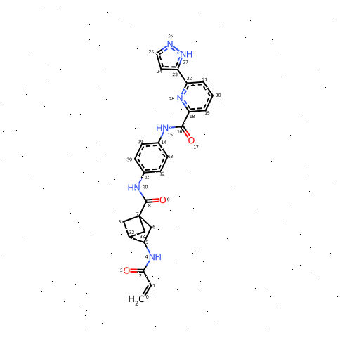 C=CC(=O)NC1CC2(C(=O)Nc3ccc(NC(=O)c4cccc(-c5ccn[nH]5)n4)cc3)CC1C2